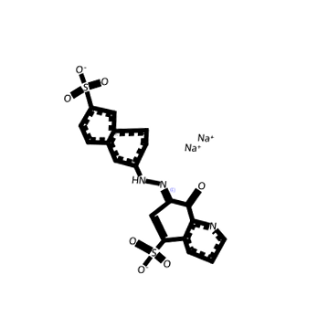 O=C1/C(=N/Nc2ccc3cc(S(=O)(=O)[O-])ccc3c2)C=C(S(=O)(=O)[O-])c2cccnc21.[Na+].[Na+]